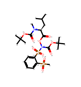 CC(C)C[C@@H](C(=O)ON(C(=O)OC(C)(C)C)S(=O)(=O)c1ccccc1S(C)(=O)=O)N(C)C(=O)OC(C)(C)C